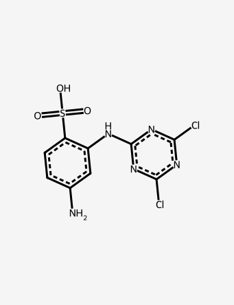 Nc1ccc(S(=O)(=O)O)c(Nc2nc(Cl)nc(Cl)n2)c1